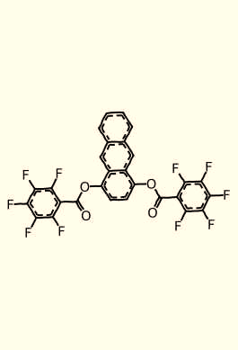 O=C(Oc1ccc(OC(=O)c2c(F)c(F)c(F)c(F)c2F)c2cc3ccccc3cc12)c1c(F)c(F)c(F)c(F)c1F